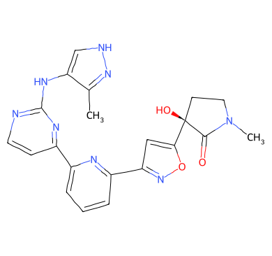 Cc1n[nH]cc1Nc1nccc(-c2cccc(-c3cc([C@]4(O)CCN(C)C4=O)on3)n2)n1